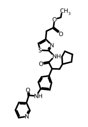 CCOC(=O)Cc1csc(NC(=O)C(CC2CCCC2)c2ccc(NC(=O)c3cccnc3)cc2)n1